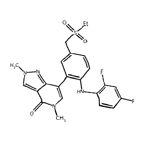 CCS(=O)(=O)Cc1ccc(Nc2ccc(F)cc2F)c(-c2cn(C)c(=O)c3cn(C)nc23)c1